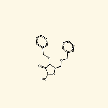 O=C1C(O)S[C@H](COCc2ccccc2)[C@H]1OCc1ccccc1